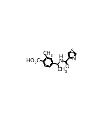 Cc1cc(C(C)NC(=O)c2cscn2)ccc1C(=O)O